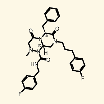 CN1CC(=O)N2[C@@H](Cc3ccccc3)C(=O)N(CCCc3ccc(F)cc3)C[C@@H]2N1C(=O)NCc1ccc(F)cc1